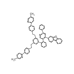 Cc1ccc(-c2ccc(CCc3cc(CCc4ccc(-c5ccc(C)cn5)cc4)cc(-c4ccccc4-c4cnc(-c5ccccc5)cc4-c4ccc5c(c4)oc4ccccc45)c3)cc2)nc1